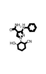 N#CC1CCC[C@H](O)[C@@H]1n1cc(C(N)=O)c(Nc2ccccc2)n1